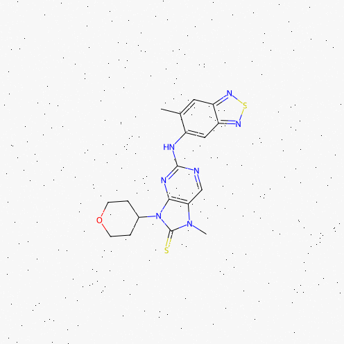 Cc1cc2nsnc2cc1Nc1ncc2c(n1)n(C1CCOCC1)c(=S)n2C